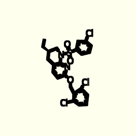 CC[C@@H]1Cc2ccc(OCc3c(Cl)cccc3Cl)nc2N(S(=O)(=O)c2cccc(Cl)c2)C1